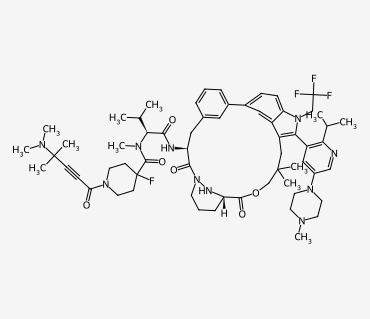 CC(C)c1ncc(N2CCN(C)CC2)cc1-c1c2c3cc(ccc3n1CC(F)(F)F)-c1cccc(c1)C[C@H](NC(=O)[C@H](C(C)C)N(C)C(=O)C1(F)CCN(C(=O)C#CC(C)(C)N(C)C)CC1)C(=O)N1CCC[C@H](N1)C(=O)OCC(C)(C)C2